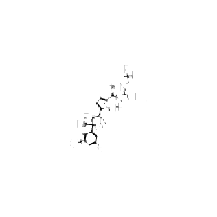 CC(NCC(F)(F)F)NC(=O)c1ccc(C2=NOC(c3cc(Cl)cc(Cl)c3)(C(F)(F)F)C2)[nH]1